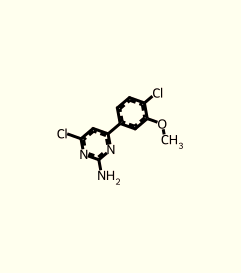 COc1cc(-c2cc(Cl)nc(N)n2)ccc1Cl